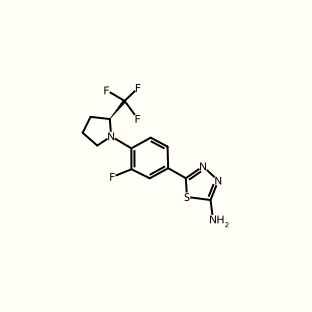 Nc1nnc(-c2ccc(N3CCC[C@H]3C(F)(F)F)c(F)c2)s1